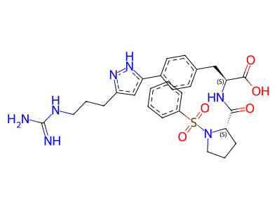 N=C(N)NCCCc1cc(-c2ccc(C[C@H](NC(=O)[C@@H]3CCCN3S(=O)(=O)c3ccccc3)C(=O)O)cc2)[nH]n1